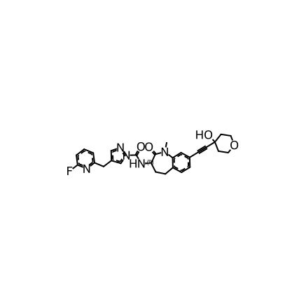 CN1C(=O)[C@H](NC(=O)n2cc(Cc3cccc(F)n3)cn2)CCc2ccc(C#CC3(O)CCOCC3)cc21